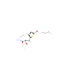 CCCCOC(=O)c1cc(C)c(C(C)C2(C(=O)OC)SCCNC2=O)s1